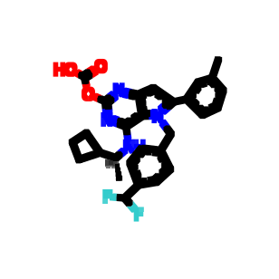 Cc1cccc(-c2cc3nc(OC(=O)O)nc(N[C@H](C)C4CCC4)c3n2Cc2ccc(C(F)F)cc2)c1